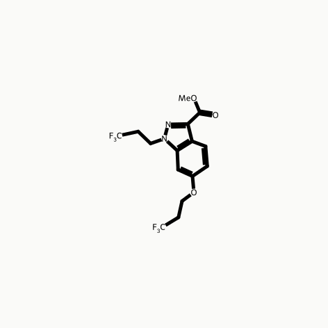 COC(=O)c1nn(CCC(F)(F)F)c2cc(OCCC(F)(F)F)ccc12